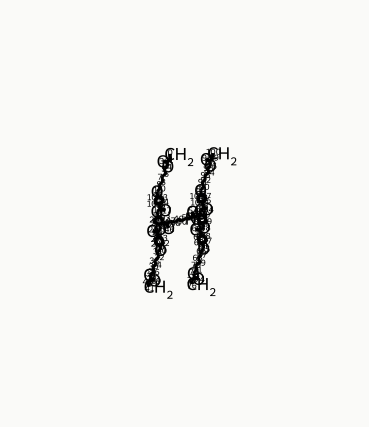 C=CC(=O)OCCCCCCOc1ccc(C(=O)Oc2ccc(OC(=O)c3ccc(OCCCCCCOC(=O)C=C)cc3)c(C(=O)CCCCCNC(=O)c3cc(OC(=O)c4ccc(OCCCCCCOC(=O)C=C)cc4)ccc3OC(=O)c3ccc(OCCCCCCOC(=O)C=C)cc3)c2)cc1